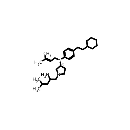 CC(C)=CCN(c1ccc(CCC2CCCCC2)cc1)[C@H]1CCN(CC(N)CC(C)C)C1